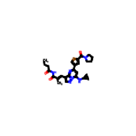 CCCC(=O)NC(=O)/C(C)=C/c1cnn2c(NC3CC3)cc(-c3csc(C(=O)N4CCCC4)c3)nc12